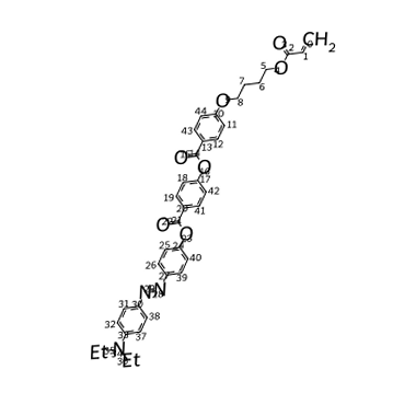 C=CC(=O)OCCCCOc1ccc(C(=O)Oc2ccc(C(=O)Oc3ccc(N=Nc4ccc(N(CC)CC)cc4)cc3)cc2)cc1